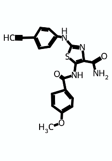 C#Cc1ccc(Nc2nc(C(N)=O)c(NC(=O)c3ccc(OC)cc3)s2)cc1